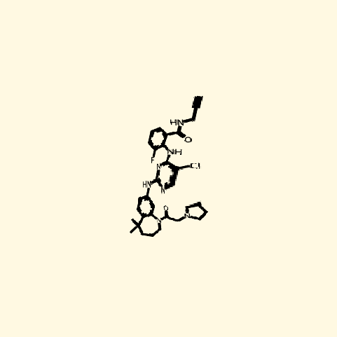 C#CCNC(=O)c1cccc(F)c1Nc1nc(Nc2ccc3c(c2)N(C(=O)CN2CCCC2)CCCC3(C)C)ncc1Cl